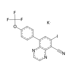 N#Cc1c(I)cc(-c2ccc(OC(F)(F)F)cc2)c2nccnc12.[K]